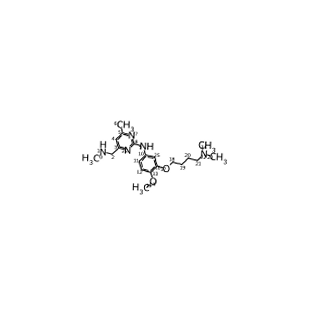 CNCc1cc(C)nc(Nc2ccc(OC)c(OCCCCN(C)C)c2)n1